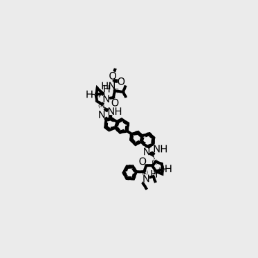 CCN(CC)[C@@H](C(=O)C1[C@H](c2nc3c(ccc4cc(-c5ccc6c(ccc7nc([C@@H]8C[C@H]9C[C@H]9N8C(=O)[C@@H](NC(=O)OC)C(C)C)[nH]c76)c5)ccc43)[nH]2)C[C@H]2C[C@@H]12)c1ccccc1